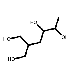 CC(O)C(O)C[C](CO)CO